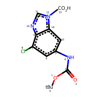 CC(C)(C)OC(=O)Nc1cc(Cl)c2ncn(C(=O)O)c2c1